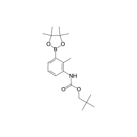 Cc1c(NC(=O)OCC(C)(C)C)cccc1B1OC(C)(C)C(C)(C)O1